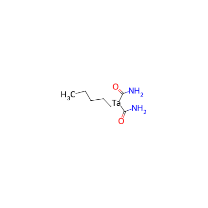 CCCC[CH2][Ta]([C](N)=O)[C](N)=O